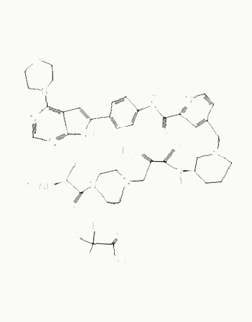 C=C(CN1CCN(C(=O)[C@@H](NC(C)=O)C(C)C)CC1)C(=O)N[C@@H]1CCCN(Cc2ccnc(C(=O)Nc3ccc(-c4cc5c(N6CCOCC6)ncnc5[nH]4)cc3)c2)C1.O=C(O)C(F)(F)F